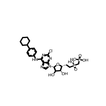 O=P(O)(O)CP(=O)(O)CC[C@H]1O[C@@H](n2cnc3c(Nc4ccc(C5CCCCC5)cc4)nc(Cl)nc32)C(O)[C@H]1O